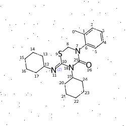 Cc1ccccc1N1CS/C(=N\C2CCCCC2)N(C2CCCCC2)C1=O